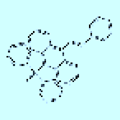 O=P(c1ccccc1)(c1ccccc1)c1c2ccccc2c(/C=C/c2ccccc2)c2ccccc12